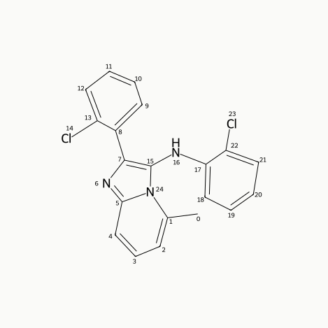 Cc1cccc2nc(-c3ccccc3Cl)c(Nc3ccccc3Cl)n12